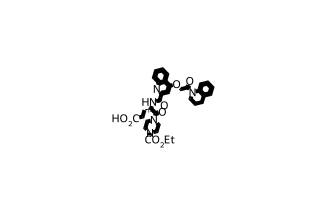 CCOC(=O)N1CCN(C(=O)[C@H](CCC(=O)O)NC(=O)c2cc(OCC(=O)N3CCCc4ccccc43)c3ccccc3n2)CC1